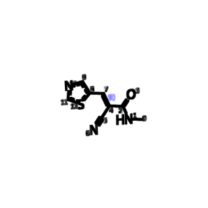 CNC(=O)/C(C#N)=C/c1cncs1